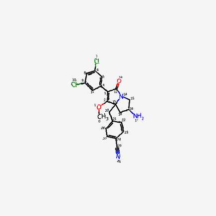 COC1=C(c2cc(Cl)cc(Cl)c2)C(=O)N2CC(N)CC12Cc1ccc(C#N)cc1